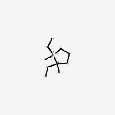 CCC1(C)CCC[N+]1(C)CC